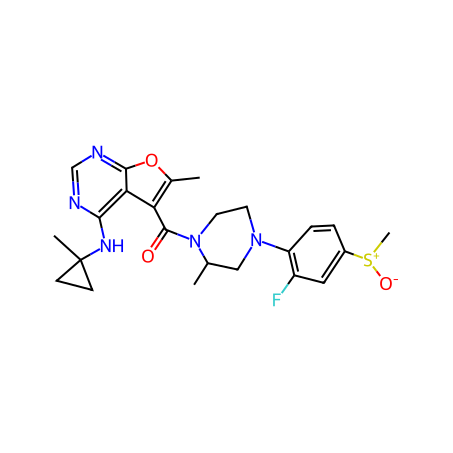 Cc1oc2ncnc(NC3(C)CC3)c2c1C(=O)N1CCN(c2ccc([S+](C)[O-])cc2F)CC1C